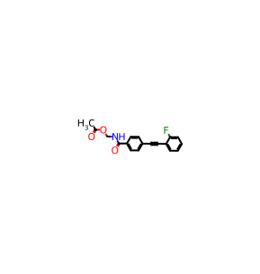 CC(=O)OCNC(=O)c1ccc(C#Cc2ccccc2F)cc1